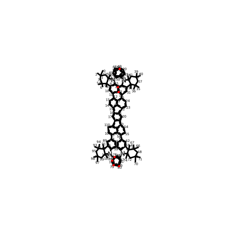 CC1(C)CC(C)(C)C2(C)c3cc(-c4ccc5c6cc7c(cc6c6ccc(-c8ccc9c(c8)C8(C)C(C)(C)CC(C)(C)CC8(C)N9c8ccccc8)c4c56)c4ccc(-c5ccc6c(c5)C5(C)C(C)(C)CC(C)(C)CC5(C)N6c5ccccc5)c5c(-c6ccc8c(c6)C6(C)C(C)(C)CC(C)(C)CC6(C)N8c6ccccc6)ccc7c54)ccc3N(c3ccccc3)C2(C)C1